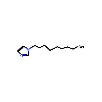 CCCCCCCCCCCCCCCCN1C=C[N+]=C1